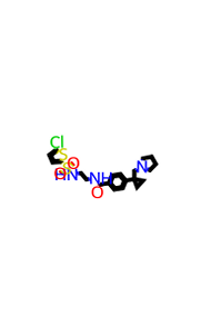 O=C(NCCNS(=O)(=O)c1ccc(Cl)s1)c1ccc(C2(CN3CCCC3)CC2)cc1